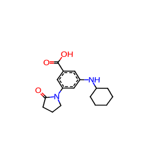 O=C(O)c1cc(NC2CCCCC2)cc(N2CCCC2=O)c1